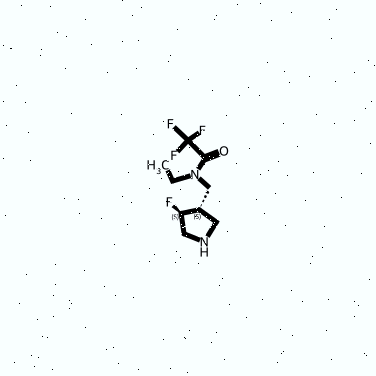 CCN(C[C@@H]1CNC[C@H]1F)C(=O)C(F)(F)F